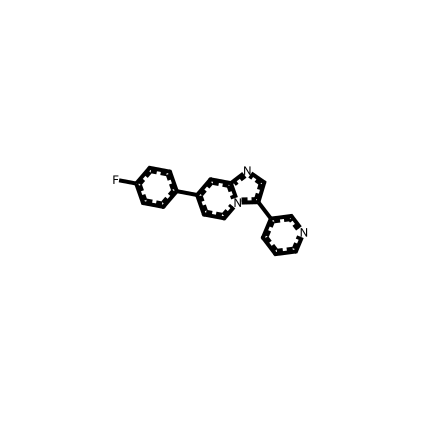 Fc1ccc(-c2ccn3c(-c4cccnc4)cnc3c2)cc1